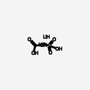 O=C(O)O.O=S(=O)(O)O.[LiH]